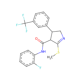 CSC1=NCC(c2cccc(C(F)(F)F)c2)C1C(=O)Nc1ccccc1F